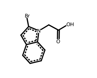 O=C(O)Cn1c(Br)cc2ccccc21